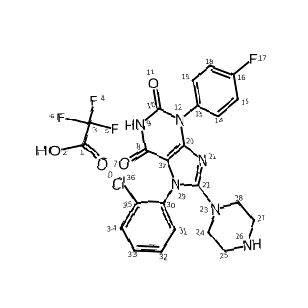 O=C(O)C(F)(F)F.O=c1[nH]c(=O)n(-c2ccc(F)cc2)c2nc(N3CCNCC3)n(-c3ccccc3Cl)c12